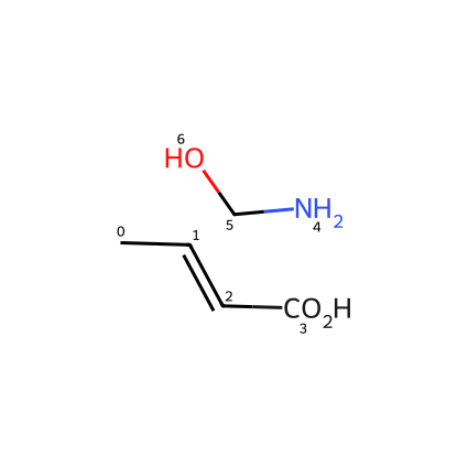 CC=CC(=O)O.NCO